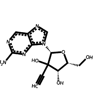 C#CC1(O)[C@@H](O)[C@@H](CO)O[C@H]1n1cnc2cnc(N)nc21